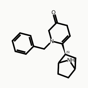 O=C1CC=C([C@H]2CC3CCC2N3)N(Cc2ccccc2)C1